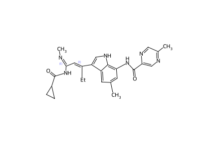 CC/C(=C\C(=N/C)NC(=O)C1CC1)c1c[nH]c2c(NC(=O)c3cnc(C)cn3)cc(C)cc12